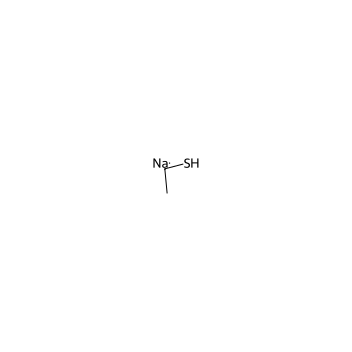 CCS.[Na]